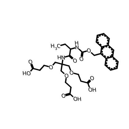 CCC(NC(=O)OCc1c2ccccc2cc2ccccc12)C(=O)NC(COCCC(=O)O)(COCCC(=O)O)COCCC(=O)O